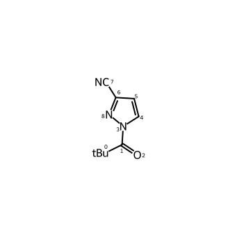 CC(C)(C)C(=O)n1ccc(C#N)n1